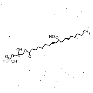 CCCCCC=CCC(C=CCCCCCCC(=O)OC[C@H](O)COP(=O)(O)O)OO